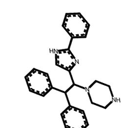 c1ccc(-c2nc(C(C(c3ccccc3)c3ccccc3)N3CCNCC3)c[nH]2)cc1